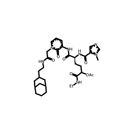 CCNC(=O)C(CC[C@H](NC(=O)c1cncn1C)C(=O)Nc1cccn(CC(=O)NCCC2CC3CCCC(C3)C2)c1=O)OC(C)=O